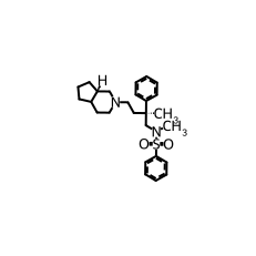 CN(C[C@@](C)(CCN1CCC2CCC[C@@H]2C1)c1ccccc1)S(=O)(=O)c1ccccc1